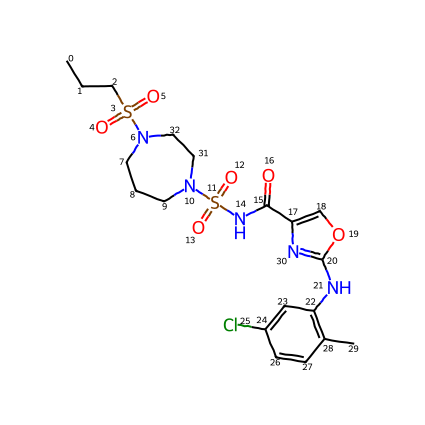 CCCS(=O)(=O)N1CCCN(S(=O)(=O)NC(=O)c2coc(Nc3cc(Cl)ccc3C)n2)CC1